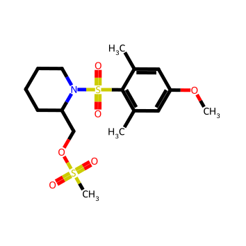 COc1cc(C)c(S(=O)(=O)N2CCCCC2COS(C)(=O)=O)c(C)c1